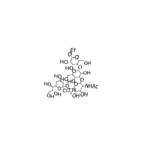 CCOC1OC(CO)[C@@H](OC2OC(CO)[C@H](O)[C@H](O[C@@H]3OC(CO[C@]4(C(=O)O)C[C@@H](O)[C@@H](C)C([C@H](O)[C@H](O)CO)O4)[C@@H](O)[C@H](O)C3NC(C)=O)[C@@H]2O)[C@H](O)[C@@H]1O